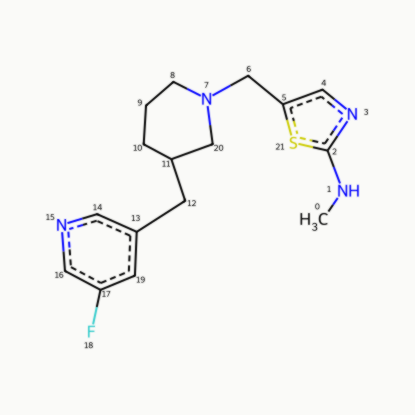 CNc1ncc(CN2CCCC(Cc3cncc(F)c3)C2)s1